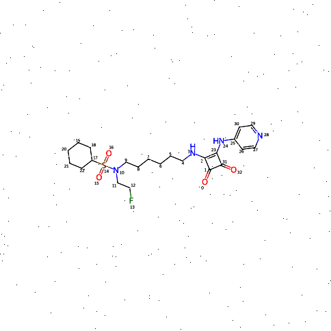 O=c1c(NCCCCCCN(CCF)S(=O)(=O)C2CCCCC2)c(Nc2ccncc2)c1=O